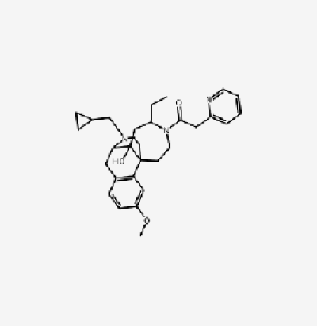 CCC1CC2(O)C3Cc4ccc(OC)cc4C2(CCN3CC2CC2)CCN1C(=O)Cc1ccccn1